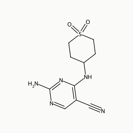 N#Cc1cnc(N)nc1NC1CCS(=O)(=O)CC1